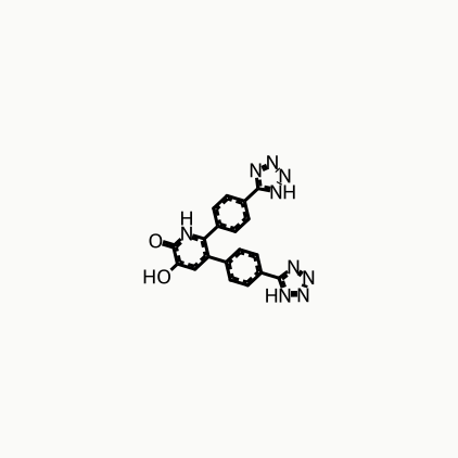 O=c1[nH]c(-c2ccc(-c3nnn[nH]3)cc2)c(-c2ccc(-c3nnn[nH]3)cc2)cc1O